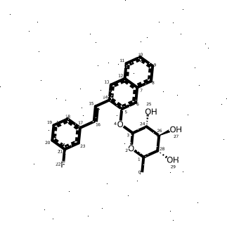 CC1OC(Oc2cc3ccccc3cc2/C=C/c2cccc(F)c2)[C@H](O)[C@@H](O)[C@@H]1O